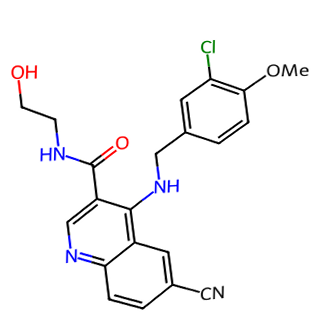 COc1ccc(CNc2c(C(=O)NCCO)cnc3ccc(C#N)cc23)cc1Cl